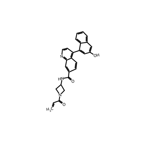 C=CC(=O)N1CC(NC(=O)c2ccc3c(-c4cc(O)cc5ccccc45)ccnc3c2)C1